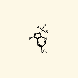 CC(C)[Si](C(C)C)(C(C)C)n1cc(I)c2cc(C(F)(F)F)cnc21